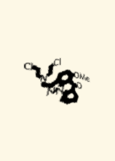 COc1ccc2c(CN(CCCl)CCCl)nn3c4ccccc4c(=O)c1c23